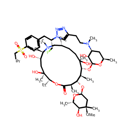 CC[C@H]1OC(=O)[C@H](C)[C@@H](O[C@H]2C[C@@](C)(OC)[C@@H](O)[C@H](C)O2)[C@H](C)[C@@H](O[C@@H]2O[C@H](C)C[C@H](N(C)CCc3cn([C@H](CF)Cc4ccc(S(=O)(=O)CC(C)C)cc4)nn3)[C@H]2O)[C@](C)(O)CC[C@@H](C)CN(C)[C@H](C)[C@@H](O)C[C@]1(C)O